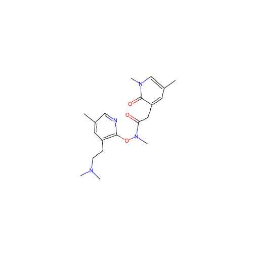 Cc1cnc(ON(C)C(=O)Cc2cc(C)cn(C)c2=O)c(CCN(C)C)c1